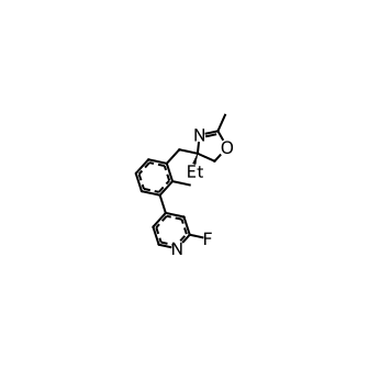 CC[C@]1(Cc2cccc(-c3ccnc(F)c3)c2C)COC(C)=N1